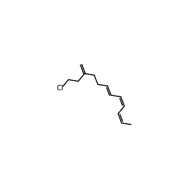 C=C(CCCl)CC/C=C/C=C\C=C/C